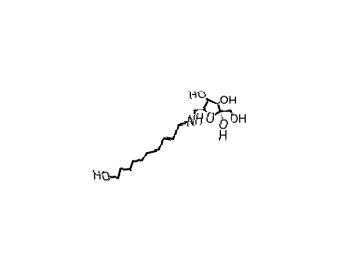 OCCCCCCCCCCNC[C@@H]1O[C@](O)(CO)[C@@H](O)[C@@H]1O